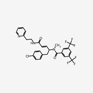 CN(C(=O)c1cc(C(F)(F)F)cc(C(F)(F)F)c1)C(C=CC(=O)NCCc1ccccn1)Cc1ccc(Cl)cc1